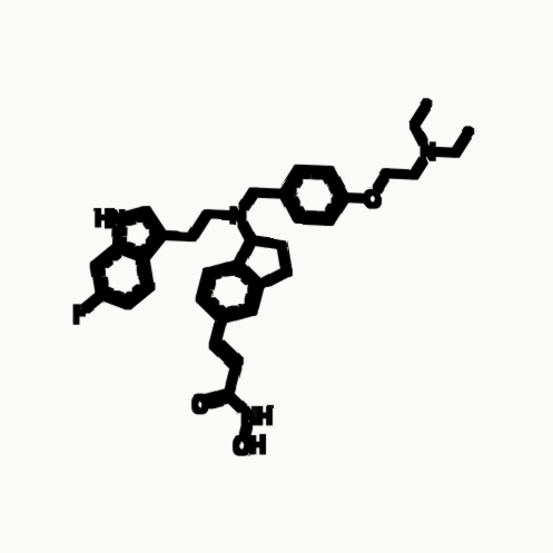 CCN(CC)CCOc1ccc(CN(CCc2c[nH]c3cc(F)ccc23)C2CCc3cc(C=CC(=O)NO)ccc32)cc1